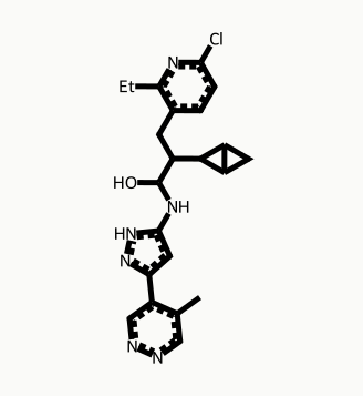 CCc1nc(Cl)ccc1CC(C(O)Nc1cc(-c2cnncc2C)n[nH]1)C1C2CC21